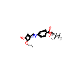 CCOC(=O)c1ccc(/N=C/c2ccc(O)c(OC)c2)cc1